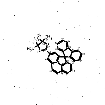 CC1(C)OB(c2cc3c4c(ccc5cccc(c54)C34c3ccccc3-c3ccccc34)c2)OC1(C)C